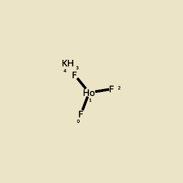 [F][Ho]([F])[F].[KH]